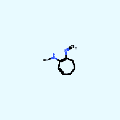 C=NC1=C(NCCC)C=CCCC1